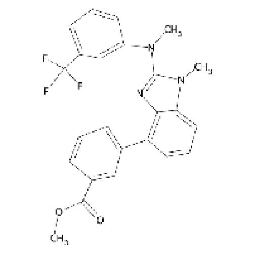 COC(=O)c1cccc(-c2cccc3c2nc(N(C)c2cccc(C(F)(F)F)c2)n3C)c1